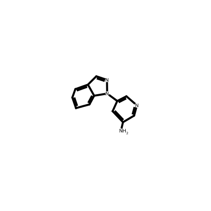 Nc1[c]c(-n2ncc3ccccc32)cnc1